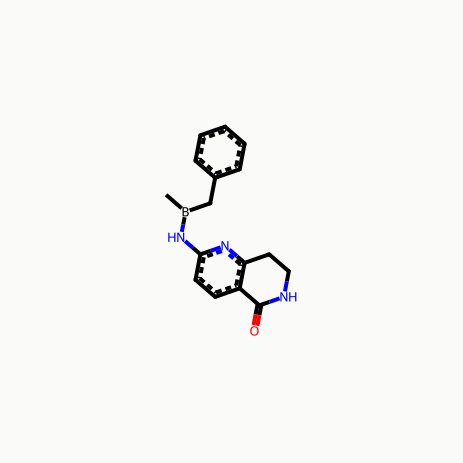 CB(Cc1ccccc1)Nc1ccc2c(n1)CCNC2=O